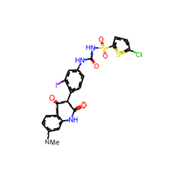 CNc1ccc2c(c1)NC(=O)C(c1ccc(NC(=O)NS(=O)(=O)c3ccc(Cl)s3)cc1I)C2=O